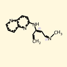 C=C/C(=C\C=N/C)Nc1ccc2ncccc2n1